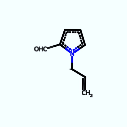 C=C[CH]n1cccc1C=O